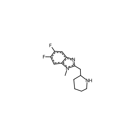 Cn1c(CC2CCCCN2)nc2cc(F)c(F)cc21